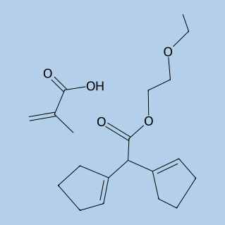 C=C(C)C(=O)O.CCOCCOC(=O)C(C1=CCCC1)C1=CCCC1